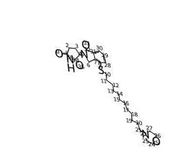 O=C1CCC(N2Cc3c(SCCCCCCCCCCCCN4CCOCC4)cccc3C2=O)C(=O)N1